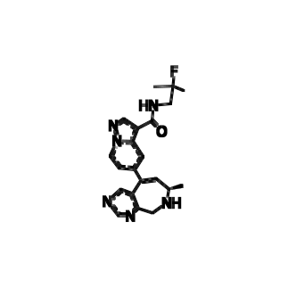 C[C@@H]1C=C(c2ccn3ncc(C(=O)NCC(C)(C)F)c3c2)c2cncnc2CN1